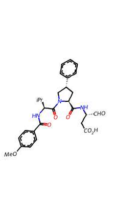 COc1ccc(C(=O)N[C@H](C(=O)N2C[C@H](c3ccccc3)C[C@H]2C(=O)N[C@H](C=O)CC(=O)O)C(C)C)cc1